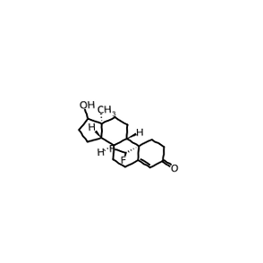 C[C@]12CC[C@H]3[C@@H](CCC4=CC(=O)CC[C@@]43C(F)F)[C@@H]1CCC2O